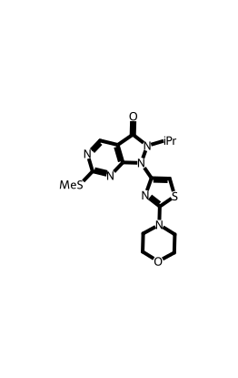 CSc1ncc2c(=O)n(C(C)C)n(-c3csc(N4CCOCC4)n3)c2n1